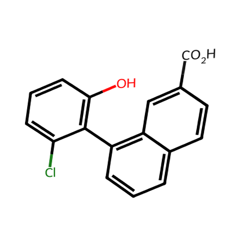 O=C(O)c1ccc2cccc(-c3c(O)cccc3Cl)c2c1